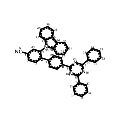 N#Cc1ccc(-c2ccc(-c3nc(-c4ccccc4)nc(-c4ccccc4)n3)cc2)c(-n2c3ccccc3c3ccccc32)c1